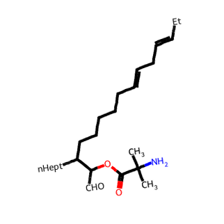 CCC=CCC=CCCCCCC(CCCCCCC)C(C=O)OC(=O)C(C)(C)N